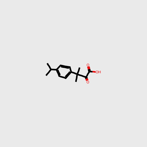 CC(C)c1ccc(C(C)(C)C(=O)C(=O)O)cc1